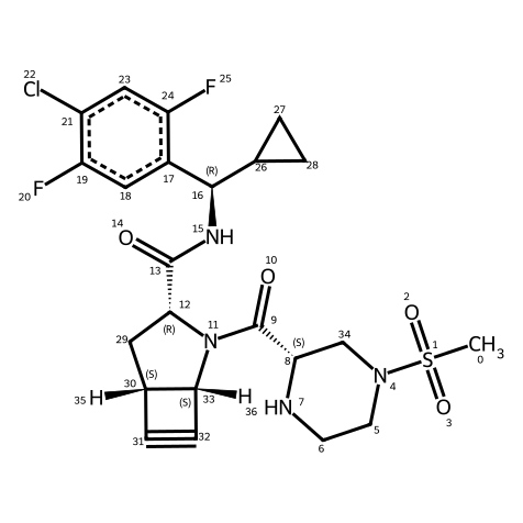 CS(=O)(=O)N1CCN[C@H](C(=O)N2[C@@H](C(=O)N[C@@H](c3cc(F)c(Cl)cc3F)C3CC3)C[C@H]3C#C[C@H]32)C1